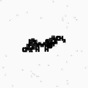 Cc1ccc(S(=O)(=O)NCCCNc2ccnc3cc(Cl)ccc23)cc1